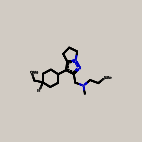 CCC1(COC)CCC(c2c(CN(C)CCNC)nn3c2CCC3)CC1